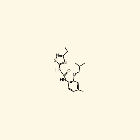 CCc1nsc(NC(=O)Nc2ccc(F)cc2OCC(C)C)n1